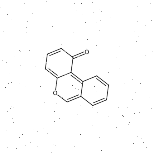 O=c1cccc2occ3ccccc3c1-2